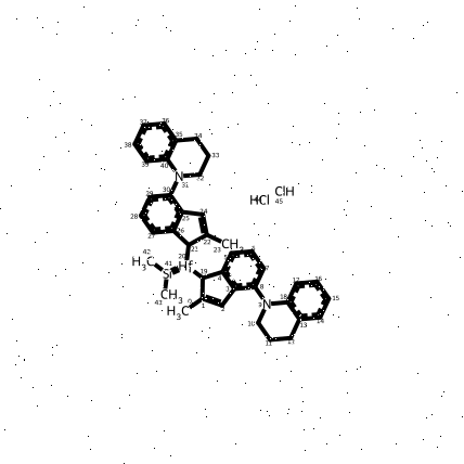 CC1=Cc2c(cccc2N2CCCc3ccccc32)[CH]1[Hf]([CH]1C(C)=Cc2c1cccc2N1CCCc2ccccc21)=[Si](C)C.Cl.Cl